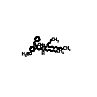 CCCCCCCCN(CCCC)C(=O)C(CCCCCC)NC(=O)Cc1c(C)n(Cc2ccccc2)c2ccc(OC)cc12